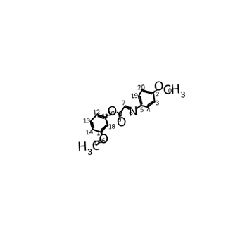 COc1ccc(N=CC(=O)Oc2cccc(OC)c2)cc1